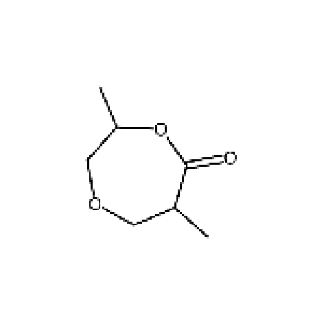 CC1COCC(C)C(=O)O1